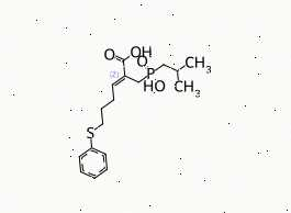 CC(C)CP(=O)(O)C/C(=C\CCCSc1ccccc1)C(=O)O